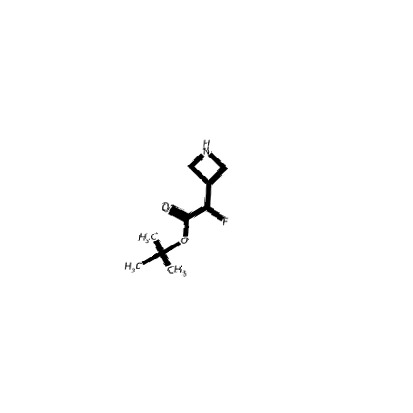 CC(C)(C)OC(=O)C(F)C1CNC1